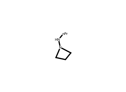 CCCNN1CCC1